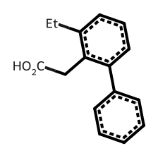 CCc1cccc(-c2ccccc2)c1CC(=O)O